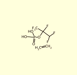 C=C.O=P(O)(O)OC(F)(C(F)F)C(F)(F)F